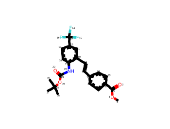 COC(=O)c1ccc(C=Cc2cc(C(F)(F)F)ccc2NC(=O)OC(C)(C)C)cc1